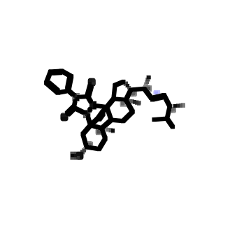 CC(C)[C@@H](C)/C=C/[C@@H](C)[C@H]1CCC2C34C=CC5(C[C@@H](O)CC[C@]5(C)C3CC[C@@]21C)n1c(=O)n(-c2ccccc2)c(=O)n14